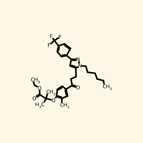 CCCCCCn1nc(-c2ccc(C(F)(F)F)cc2)cc1CCC(=O)c1ccc(OC(C)(C)C(=O)OCC)c(C)c1